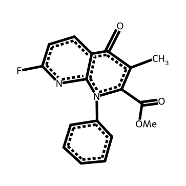 COC(=O)c1c(C)c(=O)c2ccc(F)nc2n1-c1ccccc1